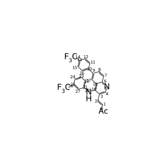 CC(=O)/C=C/c1cnc2ccc(-c3ccc(C(F)(F)F)cc3)cc2c1Nc1cccc(C(F)(F)F)c1